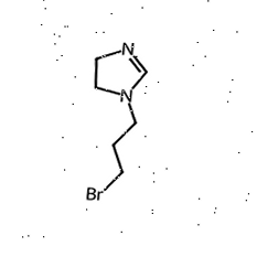 BrCCCN1C=NCC1